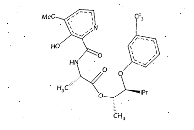 COc1ccnc(C(=O)N[C@@H](C)C(=O)O[C@@H](C)[C@@H](Oc2cccc(C(F)(F)F)c2)C(C)C)c1O